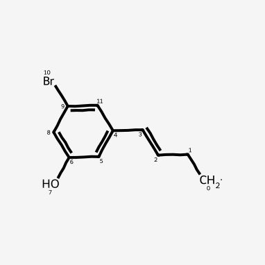 [CH2]CC=Cc1cc(O)cc(Br)c1